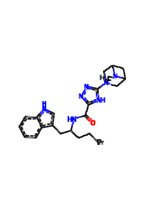 CC(C)CCC(Cc1c[nH]c2ccccc12)NC(=O)c1nnc(N2CC3CC(C2)N3C)[nH]1